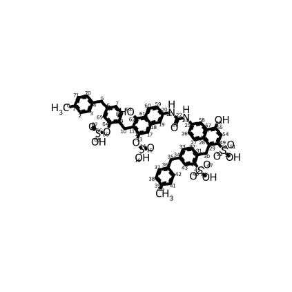 Cc1ccc(Cc2ccc(Cc3c(OS(=O)O)cc4cc(NC(=O)Nc5ccc6c(Cc7ccc(Cc8ccc(C)cc8)cc7S(=O)(=O)O)c(S(=O)(=O)O)cc(O)c6c5)ccc4c3O)c(OS(=O)O)c2)cc1